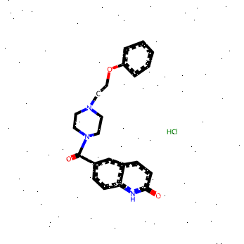 Cl.O=C(c1ccc2[nH]c(=O)ccc2c1)N1CCN(CCOc2ccccc2)CC1